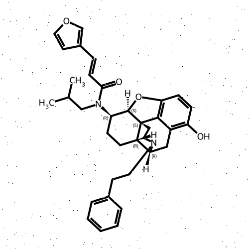 CC(C)CN(C(=O)C=Cc1ccoc1)[C@@H]1CC[C@H]2[C@H]3Cc4c(O)ccc5c4[C@@]2(CCN3CCc2ccccc2)[C@@H]1O5